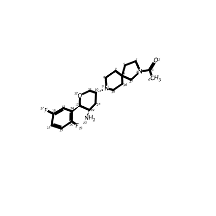 CC(=O)N1CCC2(CCN([C@H]3CO[C@H](c4cc(F)ccc4F)[C@@H](N)C3)CC2)C1